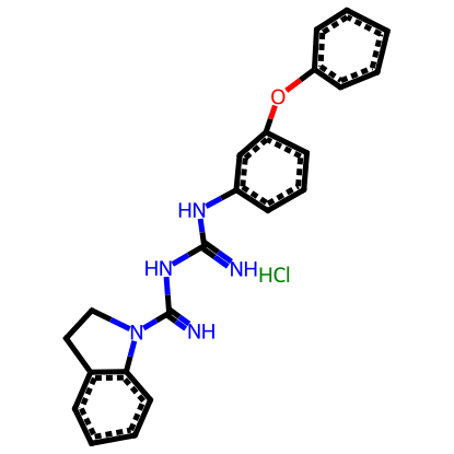 Cl.N=C(NC(=N)N1CCc2ccccc21)Nc1cccc(Oc2ccccc2)c1